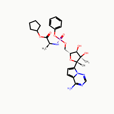 C[C@H](N[P@](=O)(OC[C@H]1O[C@@](C#N)(c2ccc3c(N)ncnn23)[C@](C)(O)[C@@H]1O)Oc1ccccc1)C(=O)OC1CCCC1